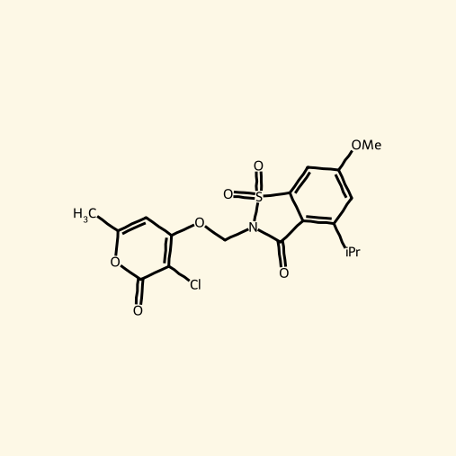 COc1cc(C(C)C)c2c(c1)S(=O)(=O)N(COc1cc(C)oc(=O)c1Cl)C2=O